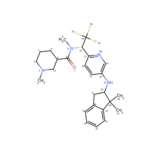 CN1CCCC(C(=O)N(C)[C@@H](c2ccc(NC3Cc4ccccc4C3(C)C)cn2)C(F)(F)F)C1